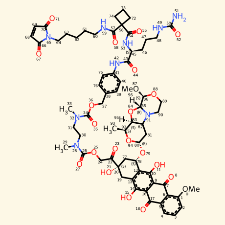 COc1cccc2c1C(=O)c1c(O)c3c(c(O)c1C2=O)C[C@@](O)(C(=O)COC(=O)N(C)CCN(C)C(=O)OCc1ccc(NC(=O)[C@H](CCCNC(N)=O)NC(=O)C2(C(=O)NCCCCCN4C(=O)C=CC4=O)CCC2)cc1)C[C@@H]3O[C@H]1CC2[C@H](O[C@@H]3[C@@H](OC)OCCN23)[C@H](C)O1